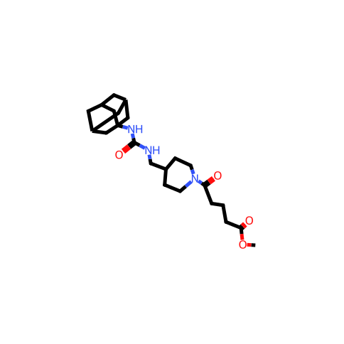 COC(=O)CCCC(=O)N1CCC(CNC(=O)NC23CC4CC(CC(C4)C2)C3)CC1